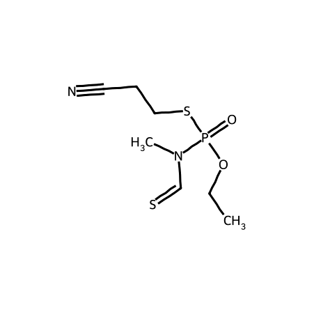 CCOP(=O)(SCCC#N)N(C)C=S